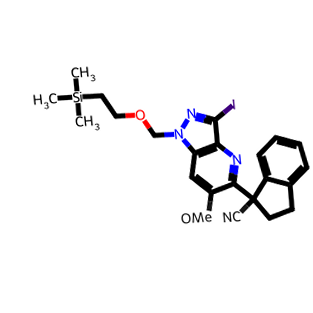 COc1cc2c(nc1C1(C#N)CCc3ccccc31)c(I)nn2COCC[Si](C)(C)C